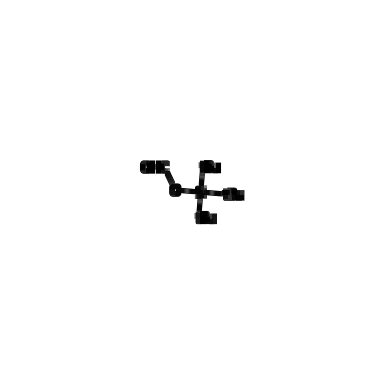 CC(C)(C)[Si](OC=O)(C(C)(C)C)C(C)(C)C